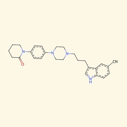 N#Cc1ccc2[nH]cc(CCCN3CCN(c4ccc(N5CCCCC5=O)cc4)CC3)c2c1